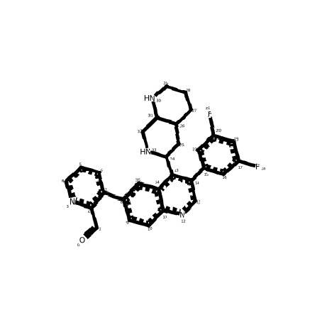 O=Cc1ncccc1-c1ccc2ncc(-c3cc(F)cc(F)c3)c(C3CC4CCCNC4CN3)c2c1